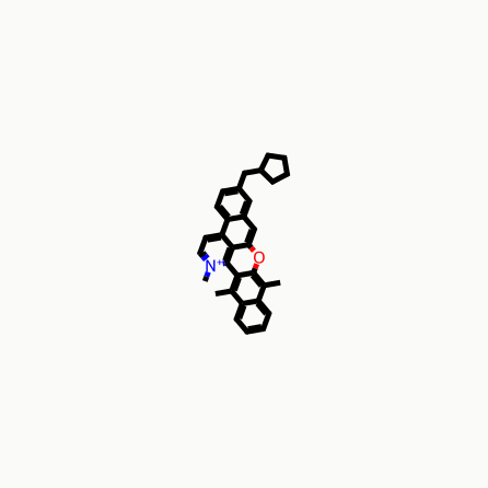 Cc1c2c(c(C)c3ccccc13)-c1c3c(cc4cc(CC5CCCC5)ccc4c3cc[n+]1C)O2